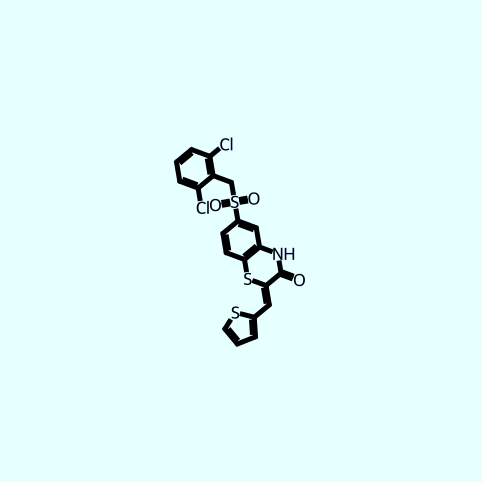 O=C1Nc2cc(S(=O)(=O)Cc3c(Cl)cccc3Cl)ccc2SC1=Cc1cccs1